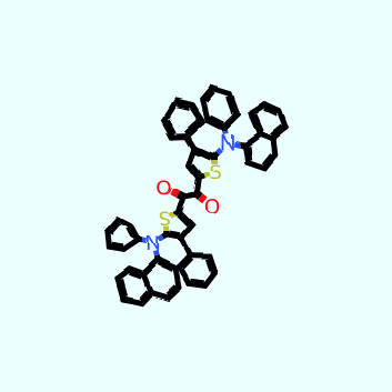 O=C(C(=O)c1cc(-c2ccccc2)c(N(c2ccccc2)c2cccc3ccccc23)s1)c1cc(-c2ccccc2)c(N(c2ccccc2)c2cccc3ccccc23)s1